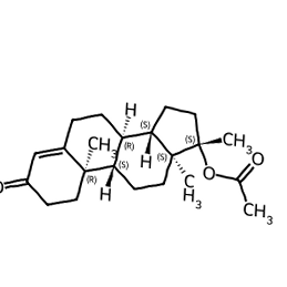 CC(=O)O[C@@]1(C)CC[C@H]2[C@@H]3CCC4=CC(=O)CC[C@]4(C)[C@H]3CC[C@@]21C